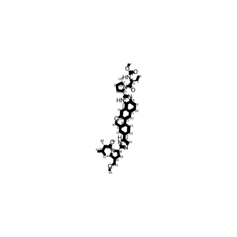 CC[C@H](NC(=O)OC)C(=O)N1[C@@H](C)CC[C@H]1c1nc2ccc3cc4c(cc3c2[nH]1)OCc1cc(-c2cnc([C@@H]3CC(COC)CN3C(=O)[C@@H](C)C(C)C)[nH]2)ccc1-4